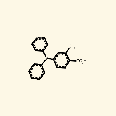 O=C(O)c1ccc([S+](c2ccccc2)c2ccccc2)cc1C(F)(F)F